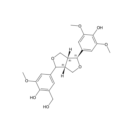 COc1cc(C2OC[C@@H]3[C@@H](c4cc(OC)c(O)c(OC)c4)OC[C@H]23)cc(CO)c1O